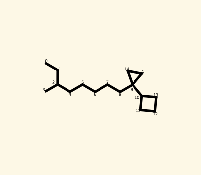 CCC(C)CCCCCC1(C2CCC2)CC1